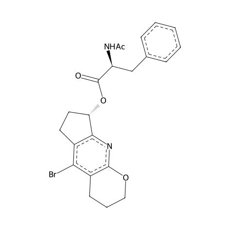 CC(=O)N[C@@H](Cc1ccccc1)C(=O)O[C@H]1CCc2c1nc1c(c2Br)CCCO1